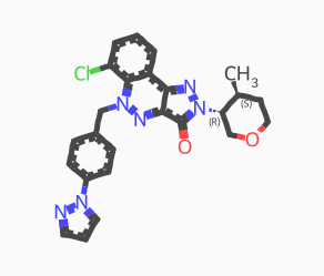 C[C@H]1CCOC[C@@H]1n1nc2c3cccc(Cl)c3n(Cc3ccc(-n4cccn4)cc3)nc-2c1=O